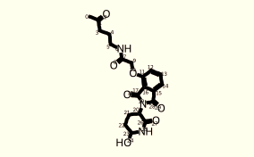 CC(=O)CCCNC(=O)COc1cccc2c1C(=O)N(C1CCC(O)NC1=O)C2=O